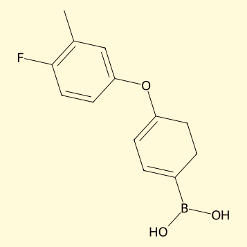 Cc1cc(OC2=CC=C(B(O)O)CC2)ccc1F